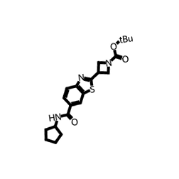 CC(C)(C)OC(=O)N1CC(c2nc3ccc(C(=O)NC4CCCC4)cc3s2)C1